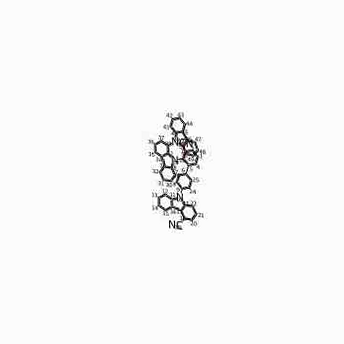 N#Cc1cccc(-c2ccc(-n3c4ccccc4c4c(C#N)cccc43)cc2)c1-n1c2ccccc2c2cccc(-n3c4ccccc4c4ccccc43)c21